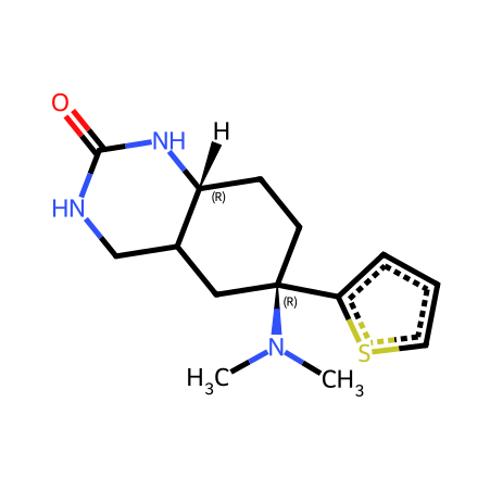 CN(C)[C@]1(c2cccs2)CC[C@H]2NC(=O)NCC2C1